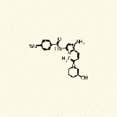 C=C(/C=C\c1nc(NC(=O)c2ccc(C(C)(C)C)cc2)cn1N)N1CCCC(O)C1